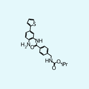 CC(C)OC(=O)NCc1ccc(C(=O)Nc2cc(-c3cccs3)ccc2N)cc1